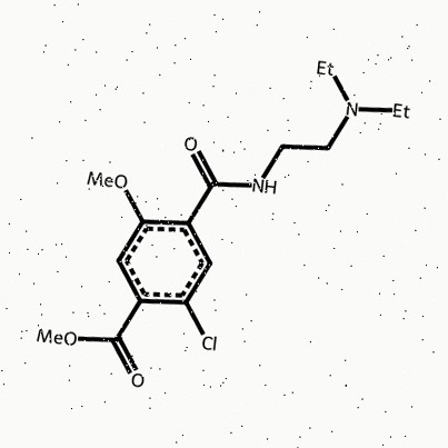 CCN(CC)CCNC(=O)c1cc(Cl)c(C(=O)OC)cc1OC